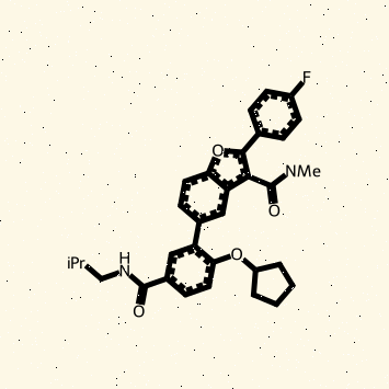 CNC(=O)c1c(-c2ccc(F)cc2)oc2ccc(-c3cc(C(=O)NCC(C)C)ccc3OC3CCCC3)cc12